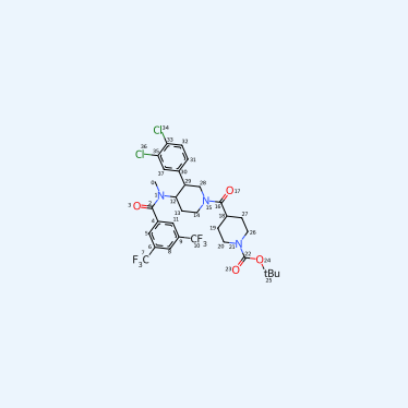 CN(C(=O)c1cc(C(F)(F)F)cc(C(F)(F)F)c1)C1CCN(C(=O)C2CCN(C(=O)OC(C)(C)C)CC2)CC1c1ccc(Cl)c(Cl)c1